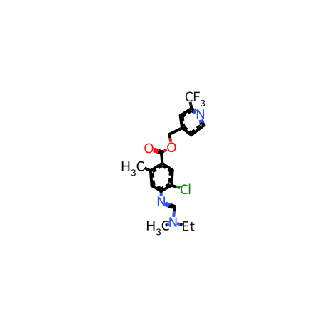 CCN(C)/C=N/c1cc(C)c(C(=O)OCc2ccnc(C(F)(F)F)c2)cc1Cl